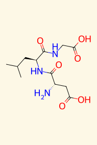 CC(C)C[C@H](NC(=O)[C@@H](N)CC(=O)O)C(=O)NCC(=O)O